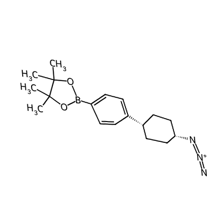 CC1(C)OB(c2ccc([C@H]3CC[C@@H](N=[N+]=[N-])CC3)cc2)OC1(C)C